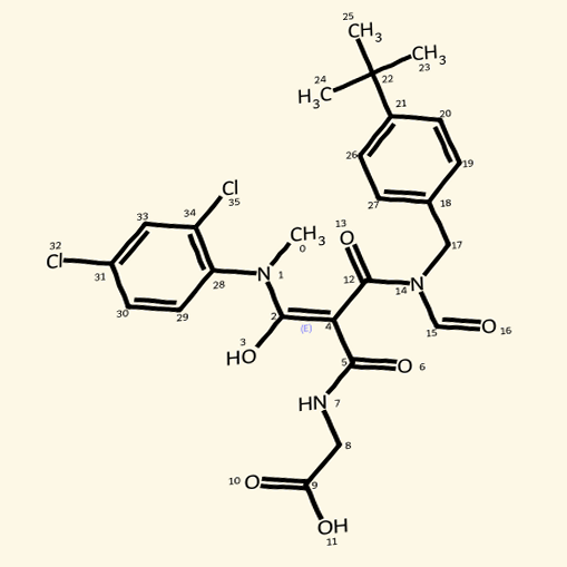 CN(/C(O)=C(/C(=O)NCC(=O)O)C(=O)N(C=O)Cc1ccc(C(C)(C)C)cc1)c1ccc(Cl)cc1Cl